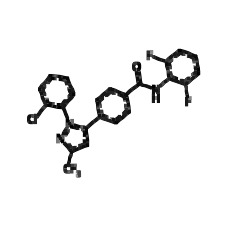 O=C(Nc1c(F)cccc1F)c1ccc(-c2cc(C(F)(F)F)nn2-c2ccccc2Cl)cc1